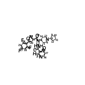 C[C@@H](NC(=O)[C@@H]1CN(C2CCCC2)CC[C@H]1NC(=O)c1cc(-c2c(F)cc(F)cc2F)on1)c1cnccn1